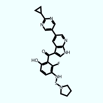 O=C(c1c(O)ccc(NSN2CCCC2)c1F)c1c[nH]c2ncc(-c3cnc(C4CC4)nc3)cc12